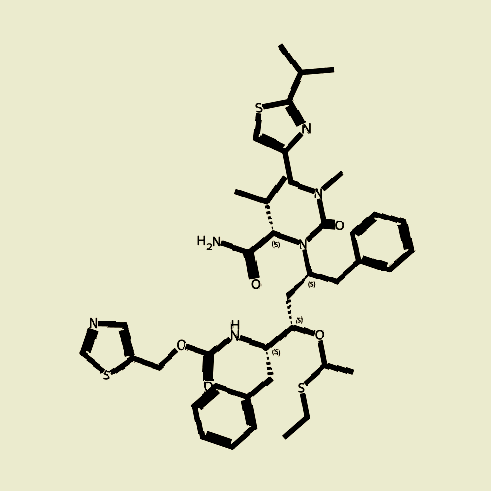 CCSC(C)O[C@@H](C[C@H](Cc1ccccc1)N(C(=O)N(C)Cc1csc(C(C)C)n1)[C@H](C(N)=O)C(C)C)[C@H](Cc1ccccc1)NC(=O)OCc1cncs1